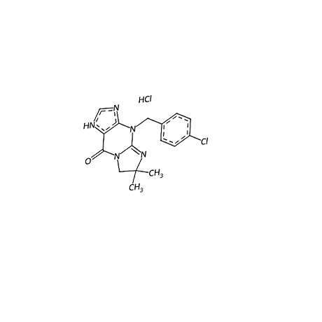 CC1(C)CN2C(=O)c3[nH]cnc3N(Cc3ccc(Cl)cc3)C2=N1.Cl